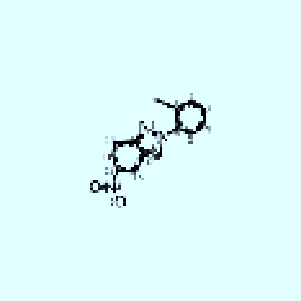 Cc1ccccc1-n1nc2ccc([N+](=O)[O-])cc2n1